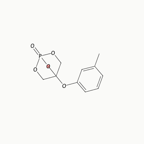 Cc1cccc(OC23COP(=O)(OC2)OC3)c1